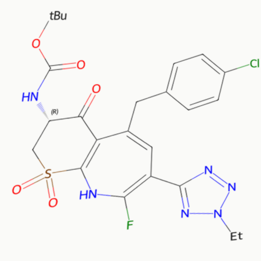 CCn1nnc(C2=C(F)NC3=C(C(=O)[C@@H](NC(=O)OC(C)(C)C)CS3(=O)=O)C(Cc3ccc(Cl)cc3)=C2)n1